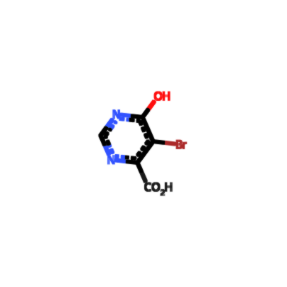 O=C(O)c1ncnc(O)c1Br